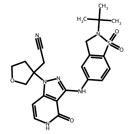 CC(C)(C)N1Cc2cc(Nc3nn(C4(CC#N)CCOC4)c4cc[nH]c(=O)c34)ccc2S1(=O)=O